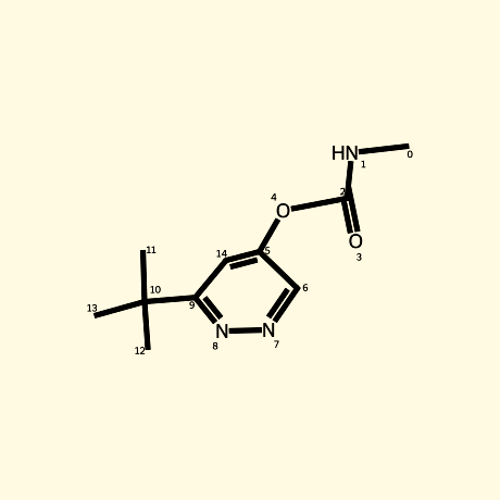 CNC(=O)Oc1cnnc(C(C)(C)C)c1